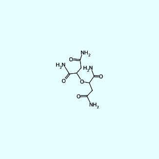 NC(=O)CC(OC(CC(N)=O)C(N)=O)C(N)=O